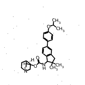 CC(C)Oc1ccc(-c2ccc3c(c2)CC(C)(C)C3NC(=O)O[C@H]2CN3CCC2CC3)cc1